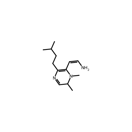 CC(C)CCC1=C(/C=C\N)N(C)C(C)C=N1